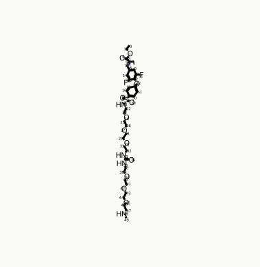 CCOC(=O)/C(C)=C/c1cc(F)c(Oc2ccc(S(=O)(=O)NCCOCCOCCOCCNC(=O)NCCOCCOCCOCCNC)cc2)c(F)c1